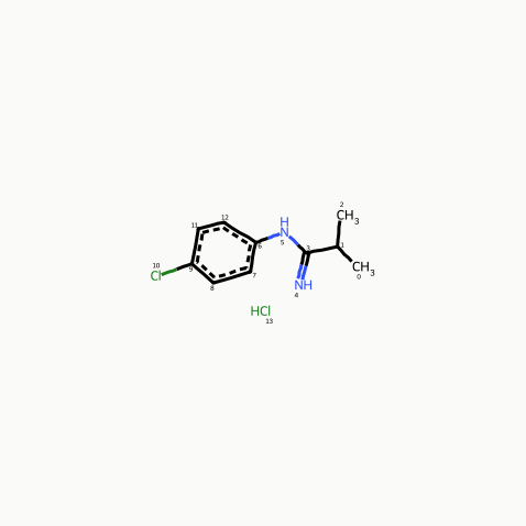 CC(C)C(=N)Nc1ccc(Cl)cc1.Cl